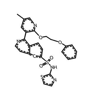 Cc1cnc(OCCOc2ccccc2)c(-c2nccc3cc(S(=O)(=O)Nc4nccs4)ccc23)c1